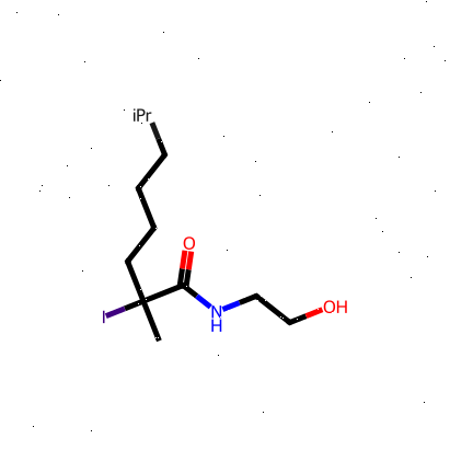 CC(C)CCCCC(C)(I)C(=O)NCCO